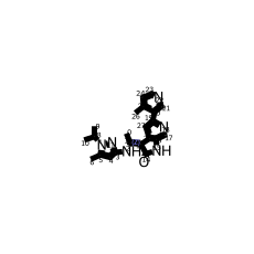 C/C(Nc1cc(C)n(C(C)C)n1)=C1/C(=O)Nc2cnc(-c3cnccc3C)cc21